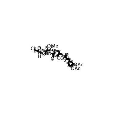 CO/N=C(\C(=O)N[C@@H]1C(=O)N2C(C(=O)O)=C(COC(=O)/C=C/c3ccc(OC(C)=O)c(OC(C)=O)c3)CS[C@H]12)c1csc(NC(=O)CCl)n1